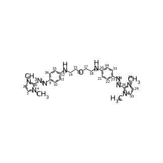 Cn1cc[n+](C)c1N=Nc1ccc(NCCOCCNc2ccc(N=Nc3n(C)cc[n+]3C)cc2)cc1